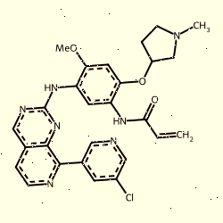 C=CC(=O)Nc1cc(Nc2ncc3ccnc(-c4cncc(Cl)c4)c3n2)c(OC)cc1OC1CCN(C)C1